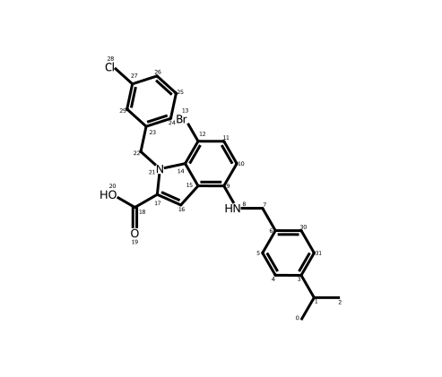 CC(C)c1ccc(CNc2ccc(Br)c3c2cc(C(=O)O)n3Cc2cccc(Cl)c2)cc1